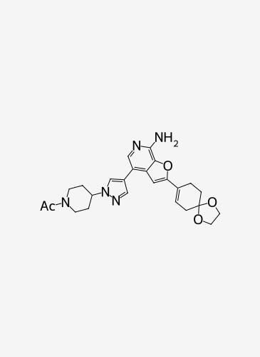 CC(=O)N1CCC(n2cc(-c3cnc(N)c4oc(C5=CCC6(CC5)OCCO6)cc34)cn2)CC1